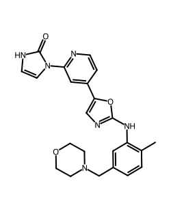 Cc1ccc(CN2CCOCC2)cc1Nc1ncc(-c2ccnc(-n3cc[nH]c3=O)c2)o1